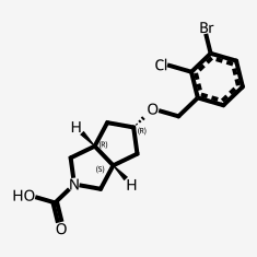 O=C(O)N1C[C@H]2C[C@@H](OCc3cccc(Br)c3Cl)C[C@H]2C1